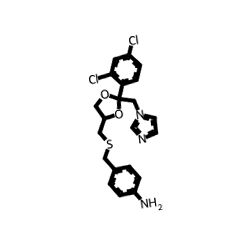 Nc1ccc(CSCC2COC(Cn3ccnc3)(c3ccc(Cl)cc3Cl)O2)cc1